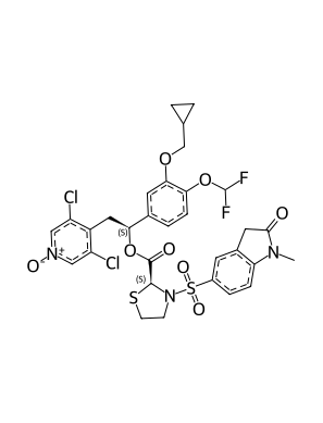 CN1C(=O)Cc2cc(S(=O)(=O)N3CCS[C@H]3C(=O)O[C@@H](Cc3c(Cl)c[n+]([O-])cc3Cl)c3ccc(OC(F)F)c(OCC4CC4)c3)ccc21